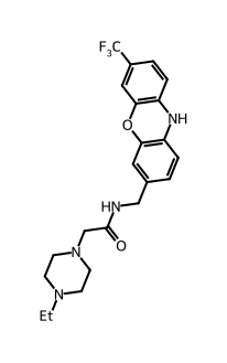 CCN1CCN(CC(=O)NCc2ccc3c(c2)Oc2cc(C(F)(F)F)ccc2N3)CC1